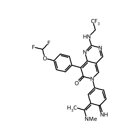 CN/C(C)=C1/C=C(n2cc3cnc(NCC(F)(F)F)nc3c(-c3ccc(OC(F)F)cc3)c2=O)C=CC1=N